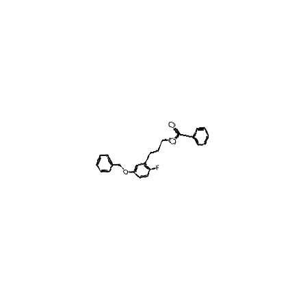 O=C(OCCCc1cc(OCc2ccccc2)ccc1F)c1ccccc1